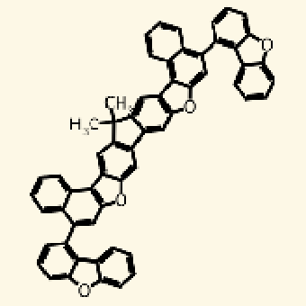 CC1(C)c2cc3c(cc2-c2cc4oc5cc(-c6cccc7oc8ccccc8c67)c6ccccc6c5c4cc21)oc1cc(-c2cccc4oc5ccccc5c24)c2ccccc2c13